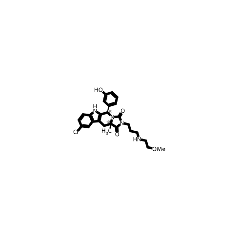 COCCNCCCN1C(=O)N2[C@H](c3cccc(O)c3)c3[nH]c4ccc(Cl)cc4c3C[C@@]2(C)C1=O